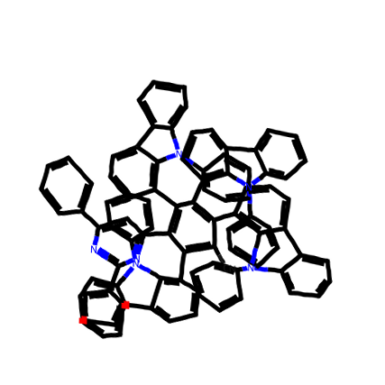 N#Cc1c(-c2cccc3c4ccccc4n(-c4ccccc4)c23)c(-c2cc(-c3ccccc3)nc(-c3ccccc3)n2)c(-c2cccc3c4ccccc4n(-c4ccccc4)c23)c(-c2cccc3c4ccccc4n(-c4ccccc4)c23)c1-c1cccc2c3ccccc3n(-c3ccccc3)c12